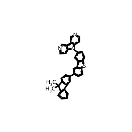 CC1(C)c2ccccc2-c2cc(-c3ccc4sc5ccc(-n6c7ccncc7c7cnccc76)cc5c4c3)ccc21